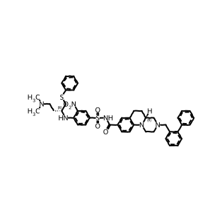 CN(C)CC[C@H](CSc1ccccc1)Nc1ccc(S(=O)(=O)NC(=O)c2ccc3c(c2)CC[C@@H]2CN(Cc4ccccc4-c4ccccc4)CCN32)cc1[N+](=O)[O-]